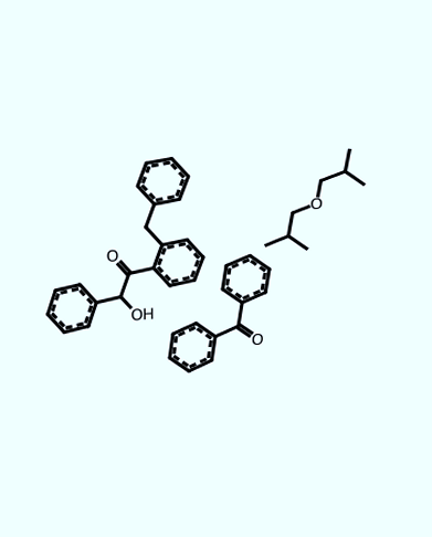 CC(C)COCC(C)C.O=C(c1ccccc1)c1ccccc1.O=C(c1ccccc1Cc1ccccc1)C(O)c1ccccc1